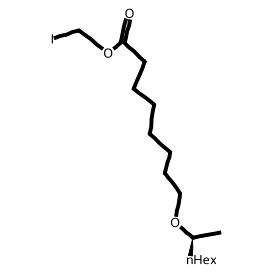 CCCCCC[C@H](C)OCCCCCCCC(=O)OCI